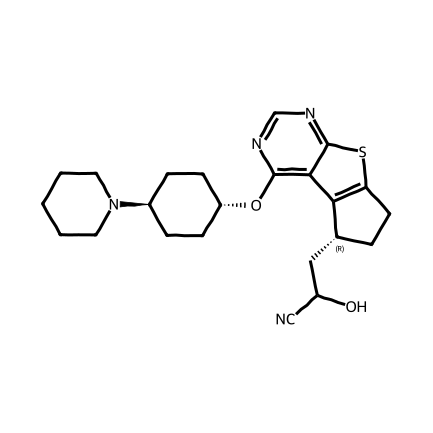 N#CC(O)C[C@H]1CCc2sc3ncnc(O[C@H]4CC[C@H](N5CCCCC5)CC4)c3c21